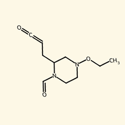 CCON1CCN(C=O)C(CC=C=O)C1